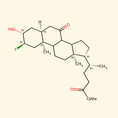 COC(=O)CC[C@@H](C)[C@H]1CCC2C3C(=O)C[C@@H]4C[C@@H](O)[C@H](F)C[C@]4(C)C3CC[C@@]21C